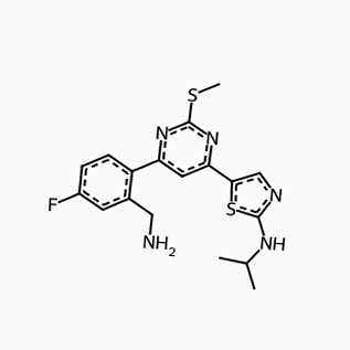 CSc1nc(-c2cnc(NC(C)C)s2)cc(-c2ccc(F)cc2CN)n1